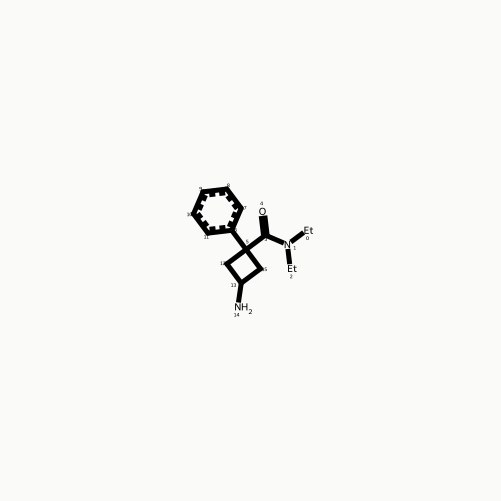 CCN(CC)C(=O)C1(c2ccccc2)CC(N)C1